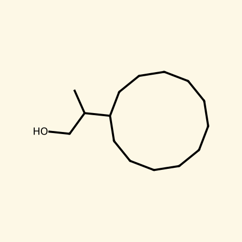 CC(CO)C1CCCCCCCCCCC1